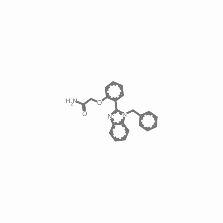 NC(=O)COc1ccccc1-c1nc2ccccc2n1Cc1ccccc1